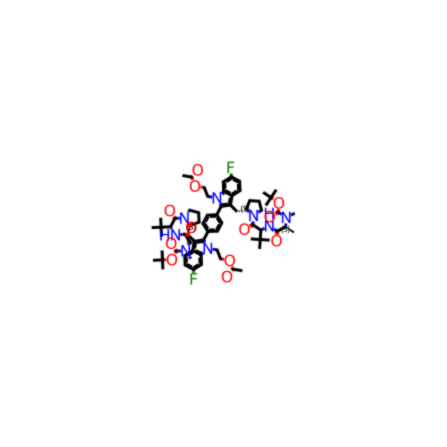 CC(=O)OCCn1c(-c2ccc(-c3c(C[C@@H]4CCCN4C(=O)C(NC(=O)[C@H](C)N(C)C(=O)OC(C)(C)C)C(C)(C)C)c4ccc(F)cc4n3CCOC(C)=O)cc2)c(C[C@@H]2CCCN2C(=O)C(NC(=O)[C@H](C)N(C)C(=O)OC(C)(C)C)C(C)(C)C)c2ccc(F)cc21